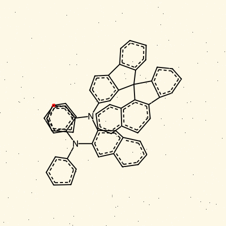 c1ccc(N(c2ccccc2)c2cc3ccccc3cc2N(c2ccccc2)c2ccc3c(c2)C2(c4ccccc4-3)c3ccccc3-c3ccc4ccccc4c32)cc1